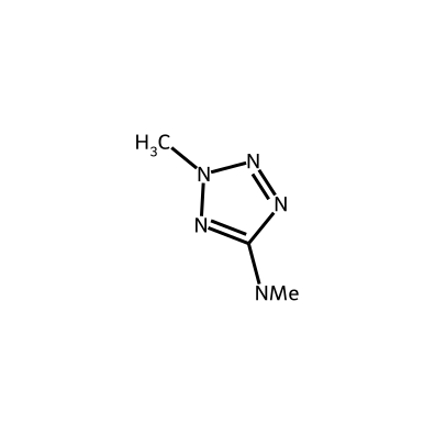 CNc1nnn(C)n1